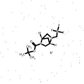 CC(C)(C)OC(=O)N1C[C@@H]2C[C@H]1CN2C[B-](F)(F)F.[K+]